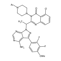 COc1ccc(-c2nn(C(C)c3nc4cccc(Cl)c4c(=O)n3N3CCN(C(C)=O)CC3)c3ncnc(N)c23)c(F)c1F